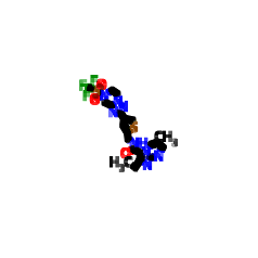 CCc1nc2ncc(C)cn2c1C(=O)NCc1cc(-c2nc3n(n2)CCN(S(=O)(=O)C(F)(F)F)C3)cs1